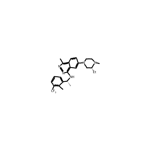 CC[C@@H]1CN(c2ccc3c(C)nnc(N[C@H](C)c4cccc(C(F)(F)F)c4C)c3c2)CCN1C